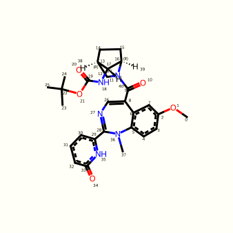 COc1ccc2c(c1)C(C(=O)N1C[C@H]3CC[C@@H]1[C@@H]3NC(=O)OC(C)(C)C)=CN=C(c1cccc(=O)[nH]1)N2C